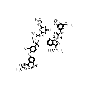 CCNc1nc(Cl)nc(NC(C)C)n1.COc1cc(OC)nc(NC(=O)NS(=O)(=O)c2ncccc2C(=O)N(C)C)n1.CS(=O)(=O)NC(=O)c1cc(Oc2ccc(C(F)(F)F)cc2Cl)ccc1[N+](=O)[O-]